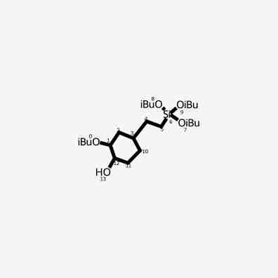 CC(C)COC1CC(CC[Si](OCC(C)C)(OCC(C)C)OCC(C)C)CCC1O